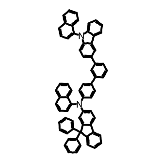 c1ccc(C2(c3ccccc3)c3ccccc3-c3ccc(N(c4ccc(-c5cccc(-c6ccc7c(c6)c6ccccc6n7-c6cccc7ccccc67)c5)cc4)c4cccc5ccccc45)cc32)cc1